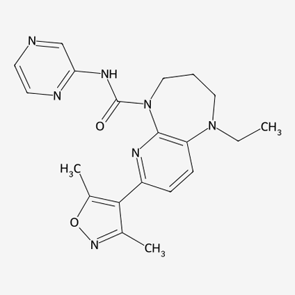 CCN1CCCN(C(=O)Nc2cnccn2)c2nc(-c3c(C)noc3C)ccc21